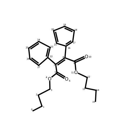 CCCCOC(=O)/C(=C(\C(=O)OCCCC)c1ccccc1)c1ccccc1